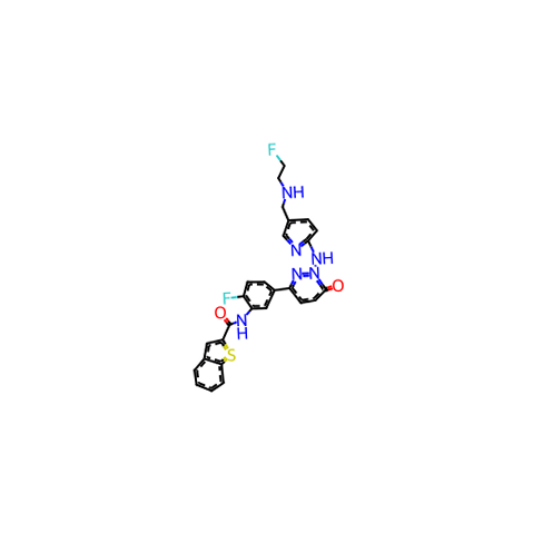 O=C(Nc1cc(-c2ccc(=O)n(Nc3ccc(CNCCF)cn3)n2)ccc1F)c1cc2ccccc2s1